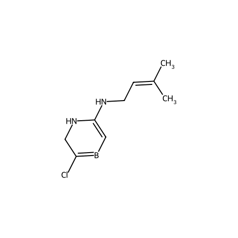 CC(C)=CCNC1=CB=C(Cl)CN1